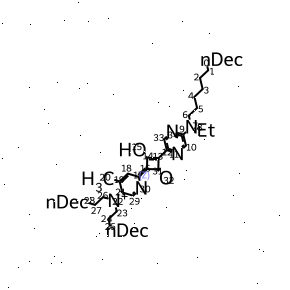 CCCCCCCCCCCCCCCCN(CC)c1cnc(C2=C(O)/C(=C3\C=C(C)C(=[N+](CCCCCCCCCCCC)CCCCCCCCCCCC)C=N3)C2=O)cn1